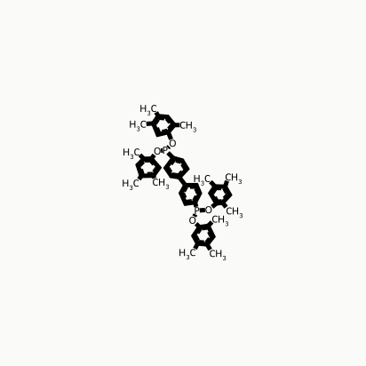 Cc1cc(C)c(OP(Oc2cc(C)c(C)cc2C)c2ccc(-c3ccc(P(Oc4cc(C)c(C)cc4C)Oc4cc(C)c(C)cc4C)cc3)cc2)cc1C